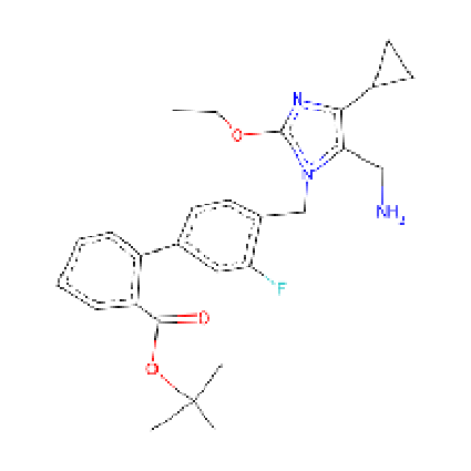 CCOc1nc(C2CC2)c(CN)n1Cc1ccc(-c2ccccc2C(=O)OC(C)(C)C)cc1F